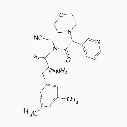 Cc1cc(C)cc(C[C@H](N)C(=O)N(CC#N)C(=O)C(c2cccnc2)N2CCOCC2)c1